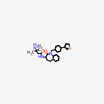 CC(C)(N)CC(=O)N[C@@H]1CCc2ccccc2N(Cc2ccc(-c3ccsc3)cc2)C1=O